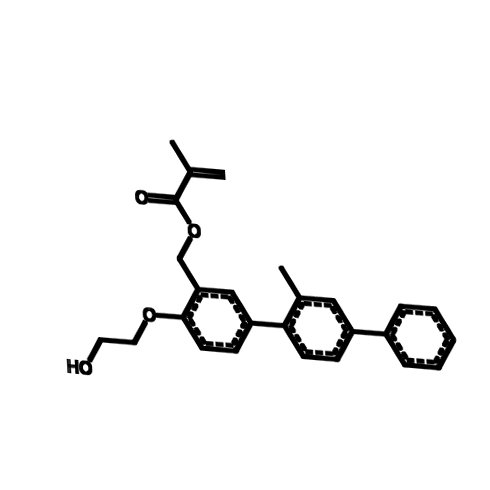 C=C(C)C(=O)OCc1cc(-c2ccc(-c3ccccc3)cc2C)ccc1OCCO